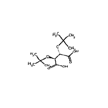 CC(C)(C)O[C@H](C(=O)O)[C@H](OC(C)(C)C)C(=O)O